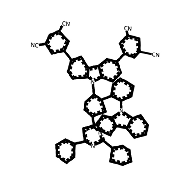 N#Cc1cc(C#N)cc(-c2ccc3c(c2)c2cc(-c4cc(C#N)cc(C#N)c4)ccc2n3-c2ccc(-c3cc(-c4ccccc4)nc(-c4ccccc4)n3)cc2-c2ccccc2-n2c3ccccc3c3ccccc32)c1